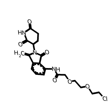 C=C1c2cccc(NC(=O)COCCOCCCl)c2C(=O)N1C1CCC(=O)NC1=O